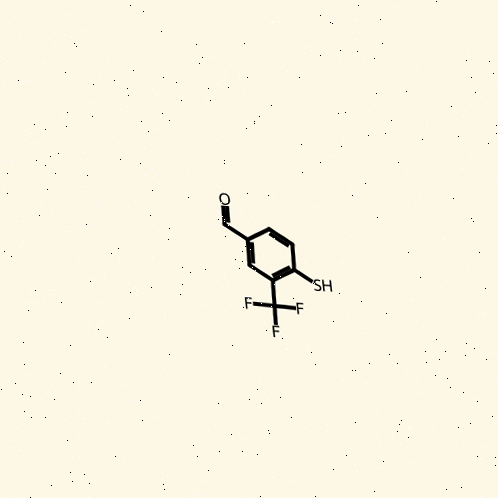 O=Cc1ccc(S)c(C(F)(F)F)c1